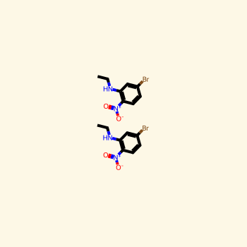 CCNc1cc(Br)ccc1[N+](=O)[O-].CCNc1cc(Br)ccc1[N+](=O)[O-]